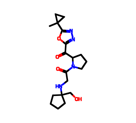 CC1(c2nnc(C(=O)C3CCCN3C(=O)CNC3(CO)CCCC3)o2)CC1